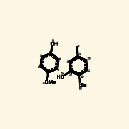 COc1ccc(O)cc1.Cc1ccc(C(C)(C)C)c(O)c1